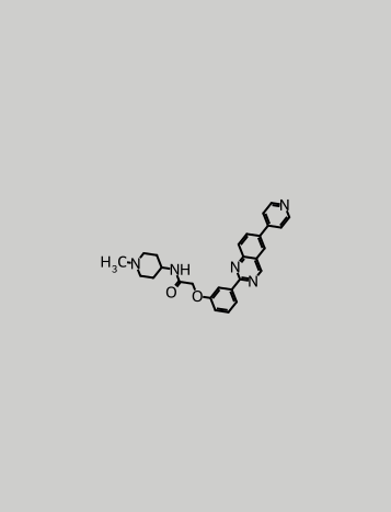 CN1CCC(NC(=O)COc2cccc(-c3ncc4cc(-c5ccncc5)ccc4n3)c2)CC1